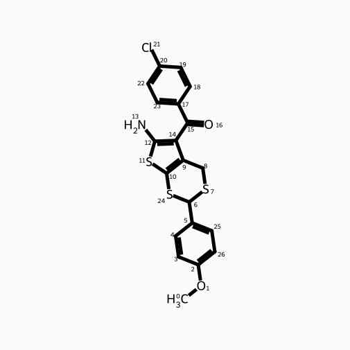 COc1ccc(C2SCc3c(sc(N)c3C(=O)c3ccc(Cl)cc3)S2)cc1